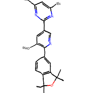 COc1cc(-c2nc(C(C)(C)C)cc(C(C)(C)C)n2)cnc1-c1ccc2c(c1)C(C)(C)OC2(C)C